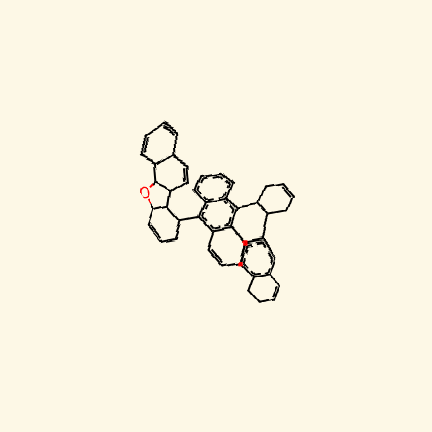 C1=CC2C=CC3C(OC4C=CCC(c5c6c(c(C7CC=CCC7c7ccc8c(c7)C=CCC8)c7ccccc57)CCC=C6)C43)C2C=C1